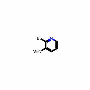 CCc1ncccc1NC